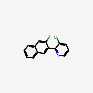 Fc1cc2ccccc2cc1-c1ncccc1Cl